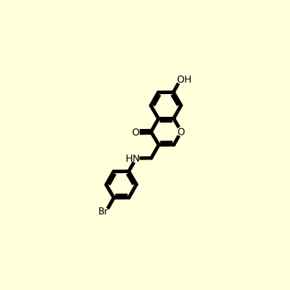 O=c1c(CNc2ccc(Br)cc2)coc2cc(O)ccc12